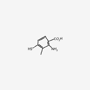 Cc1c(S)ccc(C(=O)O)c1N